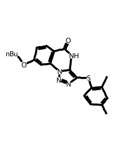 CCCCOc1ccc2c(=O)[nH]c3c(Sc4ccc(C)cc4C)nnn3c2c1